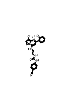 Cc1cnn2c(NCCNC(=O)Nc3ccc(C#N)cc3)cc(-c3ccccc3O)nc12